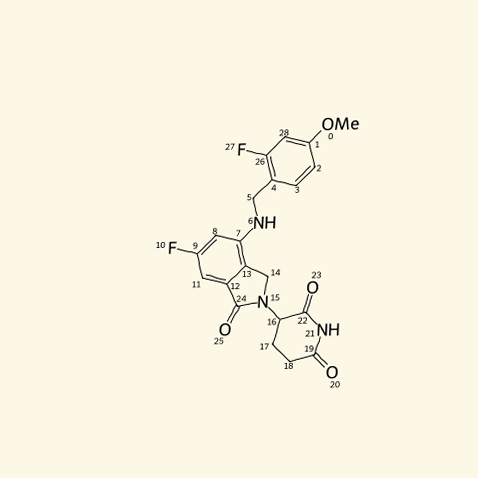 COc1ccc(CNc2cc(F)cc3c2CN(C2CCC(=O)NC2=O)C3=O)c(F)c1